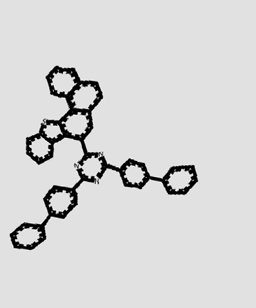 c1ccc(-c2ccc(-c3nc(-c4ccc(-c5ccccc5)cc4)nc(-c4cc5ccc6ccccc6c5c5sc6ccccc6c45)n3)cc2)cc1